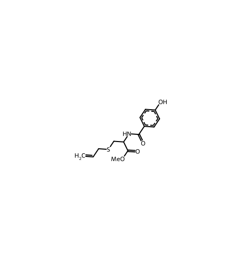 C=CCSCC(NC(=O)c1ccc(O)cc1)C(=O)OC